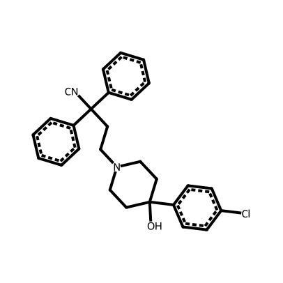 [C-]#[N+]C(CCN1CCC(O)(c2ccc(Cl)cc2)CC1)(c1ccccc1)c1ccccc1